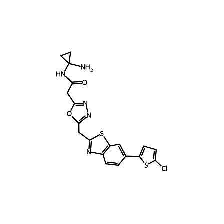 NC1(NC(=O)Cc2nnc(Cc3nc4ccc(-c5ccc(Cl)s5)cc4s3)o2)CC1